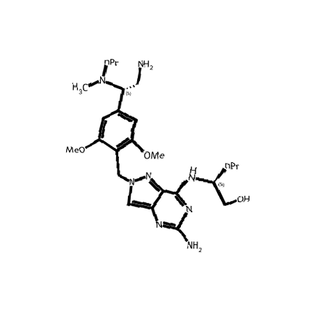 CCC[C@@H](CO)Nc1nc(N)nc2cn(Cc3c(OC)cc([C@@H](CN)N(C)CCC)cc3OC)nc12